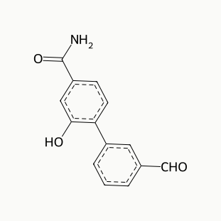 NC(=O)c1ccc(-c2cccc(C=O)c2)c(O)c1